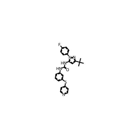 CC(C)(C)c1cc(NC(=O)Nc2cccc(Sc3ccncc3)c2)n(-c2ccc(F)cc2)n1